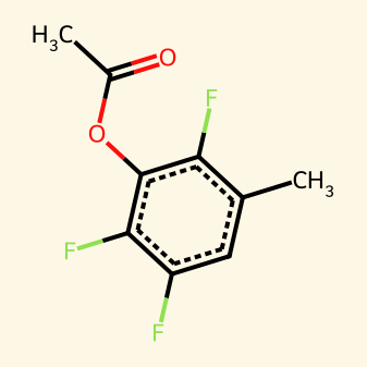 CC(=O)Oc1c(F)c(C)cc(F)c1F